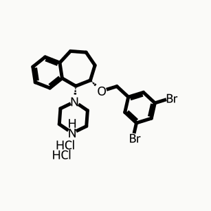 Brc1cc(Br)cc(CO[C@H]2CCCc3ccccc3[C@H]2N2CCNCC2)c1.Cl.Cl